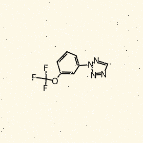 FC(F)(F)Oc1cccc(-n2n[c]nn2)c1